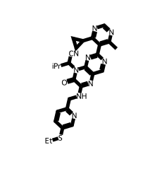 CCSc1ccc(CNc2nc3cnc(-c4c(C)ncnc4C4CC4)nc3n(C(C#N)C(C)C)c2=O)nc1